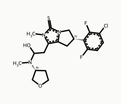 CN(C(O)Cc1c2n(c(=S)n1C)C[C@H](c1c(F)ccc(Cl)c1F)C2)[C@@H]1CCOC1